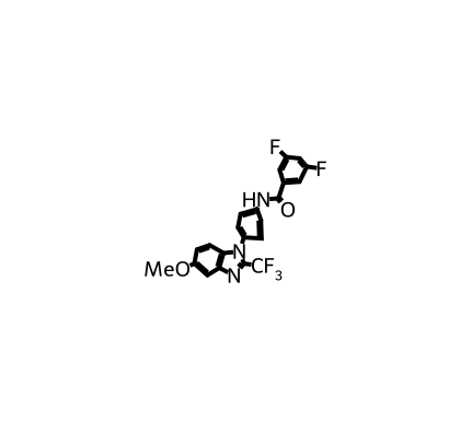 COc1ccc2c(c1)nc(C(F)(F)F)n2-c1ccc(NC(=O)c2cc(F)cc(F)c2)cc1